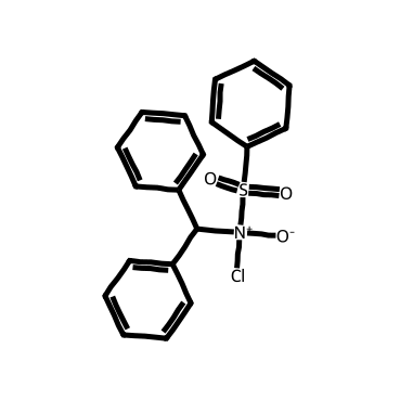 O=S(=O)(c1ccccc1)[N+]([O-])(Cl)C(c1ccccc1)c1ccccc1